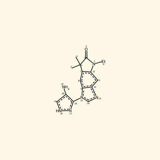 CCN1C(=O)C(C)(C)c2cc3c(cc21)ncn3-c1n[nH]cc1N